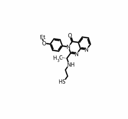 CCOc1ccc(-n2c([C@@H](C)NCCS)nc3ncccc3c2=O)cc1